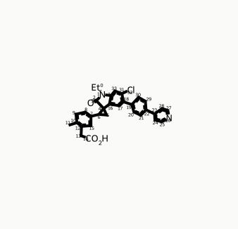 CCN1C(=O)C2(CC2c2ccc(C)c(CC(=O)O)c2)c2cc(-c3ccc(-c4ccncc4)cc3)c(Cl)cc21